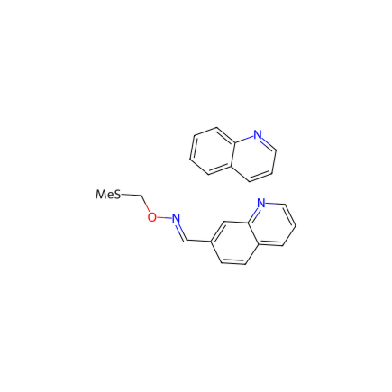 CSCON=Cc1ccc2cccnc2c1.c1ccc2ncccc2c1